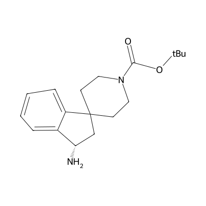 CC(C)(C)OC(=O)N1CCC2(CC1)C[C@H](N)c1ccccc12